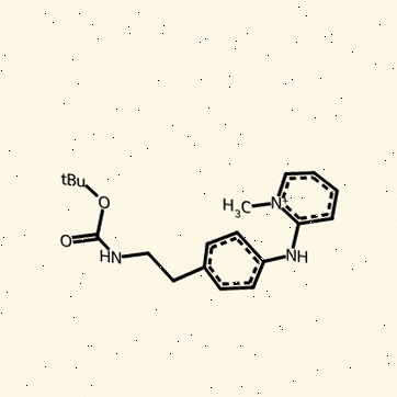 C[n+]1ccccc1Nc1ccc(CCNC(=O)OC(C)(C)C)cc1